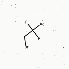 CC(=O)C(F)(F)CBr